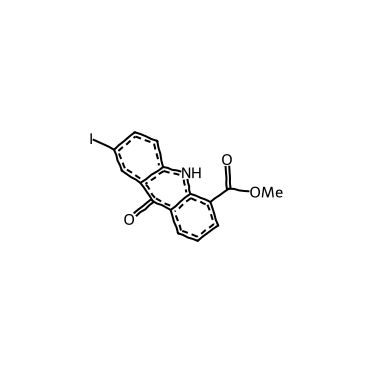 COC(=O)c1cccc2c(=O)c3cc(I)ccc3[nH]c12